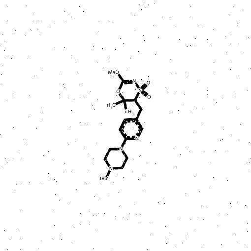 COC1=NS(=O)(=O)C(Cc2ccc(N3CCN(C(C)(C)C)CC3)nc2)C(C)(C)O1